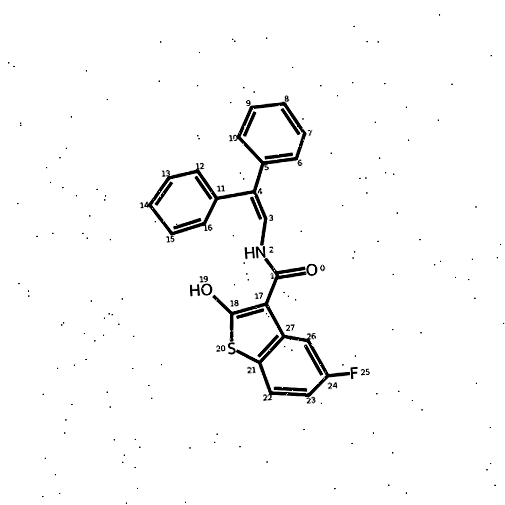 O=C(NC=C(c1ccccc1)c1ccccc1)c1c(O)sc2ccc(F)cc12